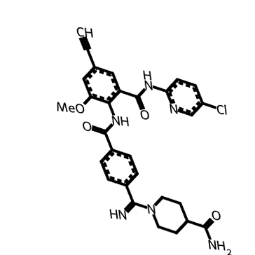 C#Cc1cc(OC)c(NC(=O)c2ccc(C(=N)N3CCC(C(N)=O)CC3)cc2)c(C(=O)Nc2ccc(Cl)cn2)c1